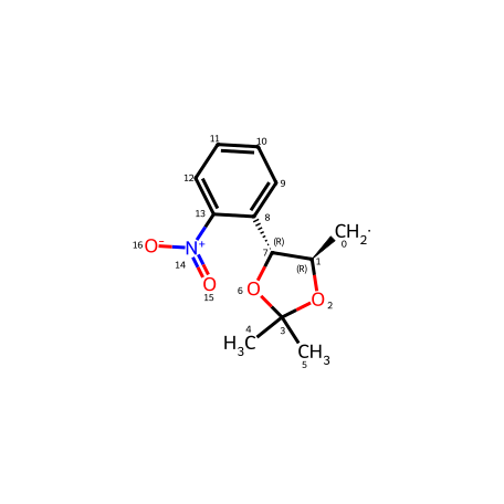 [CH2][C@H]1OC(C)(C)O[C@@H]1c1ccccc1[N+](=O)[O-]